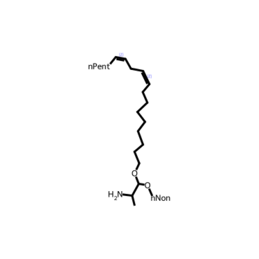 CCCCC/C=C\C/C=C\CCCCCCCCOC(OCCCCCCCCC)C(C)N